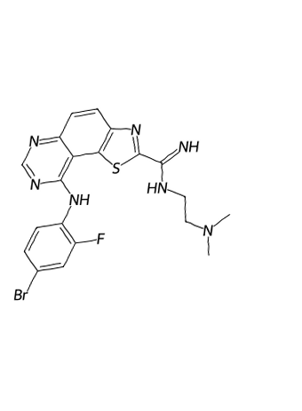 CN(C)CCNC(=N)c1nc2ccc3ncnc(Nc4ccc(Br)cc4F)c3c2s1